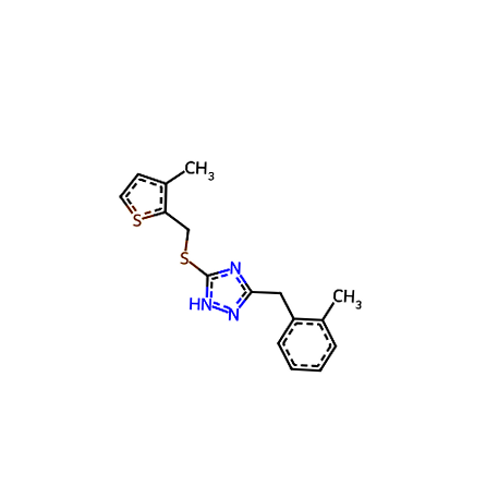 Cc1ccccc1Cc1n[nH]c(SCc2sccc2C)n1